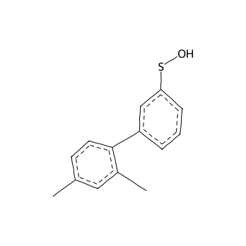 Cc1ccc(-c2cccc(SO)c2)c(C)c1